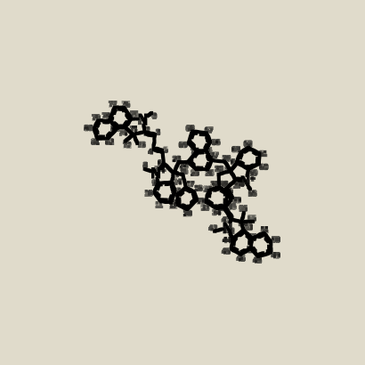 CN1/C(=C/C=C/C2=[N+](C)c3ccccc3C2(Cc2ccccc2)Cc2ccc(CC3(Cc4ccccc4)C(/C=C/C=C4/N(C)c5ccc6ccccc6c5C4(C)C)=[N+](C)c4ccccc43)c3ccccc23)C(C)(C)c2c1ccc1ccccc21